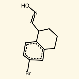 ON=CC1CCCc2cc(Br)ccc21